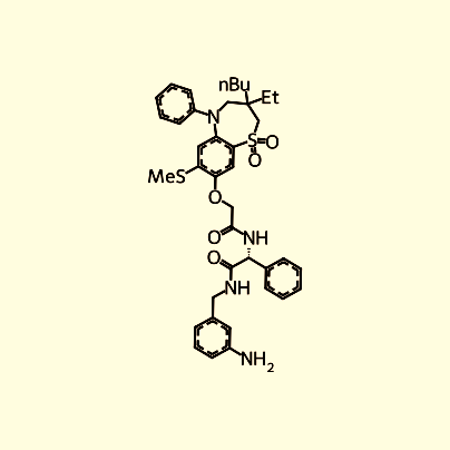 CCCCC1(CC)CN(c2ccccc2)c2cc(SC)c(OCC(=O)N[C@@H](C(=O)NCc3cccc(N)c3)c3ccccc3)cc2S(=O)(=O)C1